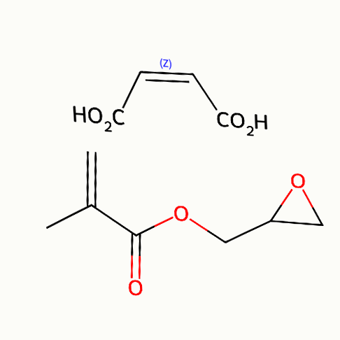 C=C(C)C(=O)OCC1CO1.O=C(O)/C=C\C(=O)O